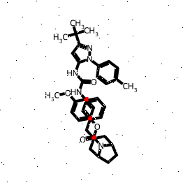 COc1ccc(OC(=O)N2C3CCC2CC(Cc2cccc(NC(=O)Nc4cc(C(C)(C)C)nn4-c4ccc(C)cc4)c2)C3)cc1